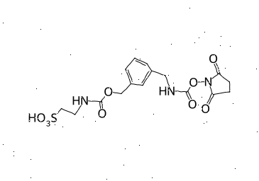 O=C(NCCS(=O)(=O)O)OCc1cccc(CNC(=O)ON2C(=O)CCC2=O)c1